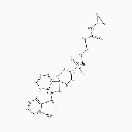 COc1ccccc1C(=O)NCC1(c2ccccc2)CCN(S(=O)(=O)NCCOC(=O)NC2CC2)CC1